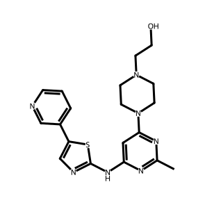 Cc1nc(Nc2ncc(-c3cccnc3)s2)cc(N2CCN(CCO)CC2)n1